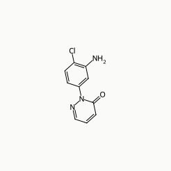 Nc1cc(-n2ncccc2=O)ccc1Cl